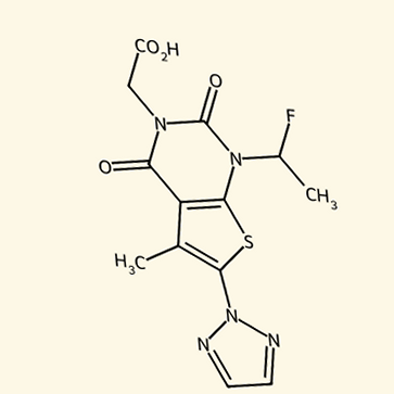 Cc1c(-n2nccn2)sc2c1c(=O)n(CC(=O)O)c(=O)n2C(C)F